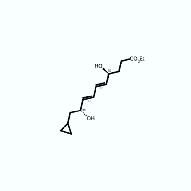 CCOC(=O)CC[C@H](O)/C=C/C=C/[C@H](O)CC1CC1